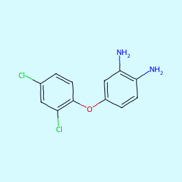 Nc1ccc(Oc2ccc(Cl)cc2Cl)cc1N